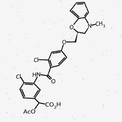 CC(=O)OC(C(=O)O)c1ccc(Cl)c(NC(=O)c2ccc(OC[C@@H]3CN(C)c4ccccc4O3)cc2Cl)c1